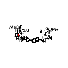 COC(=O)N[C@H](C(=O)N1CC2(CC2)C[C@H]1c1ncc(-c2ccc3cc(-c4ccc(-c5cnc([C@@H]6[C@H]7CC[C@H](C7)N6C(=O)[C@@H](NC(=O)OC)C(C)(C)C)[nH]5)cc4)ccc3c2)[nH]1)C(C)C